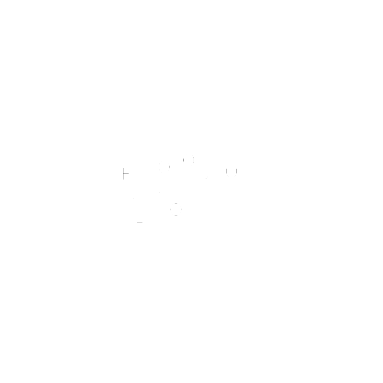 CC1CCC(OC(=O)C(C)(F)F)C(=O)O1